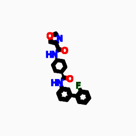 O=C(N[C@H]1CC[C@@H](C(=O)Nc2cccc(-c3ccccc3F)c2)CC1)c1cocn1